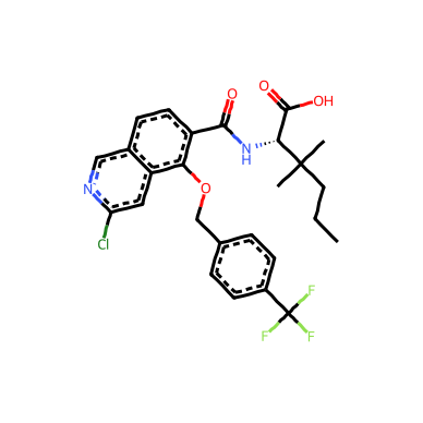 CCCC(C)(C)[C@H](NC(=O)c1ccc2cnc(Cl)cc2c1OCc1ccc(C(F)(F)F)cc1)C(=O)O